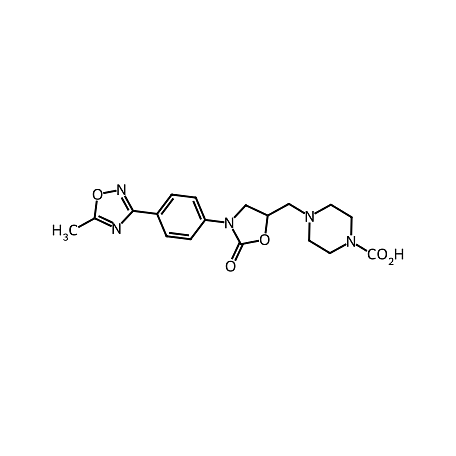 Cc1nc(-c2ccc(N3CC(CN4CCN(C(=O)O)CC4)OC3=O)cc2)no1